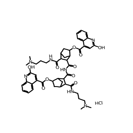 CN(C)CCCNC(=O)C1C2CC(OC(=O)c3cc(O)nc4ccccc34)C(C2)C1C(=O)NC(=O)C1C2CC(CC2OC(=O)c2cc(O)nc3ccccc23)C1C(=O)NCCCN(C)C.Cl